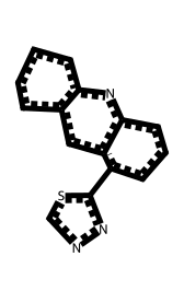 c1ccc2nc3cccc(-c4nncs4)c3cc2c1